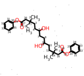 CC(C)(CCC(O)CCC(O)CCC(C)(C)CC(=O)Oc1ccccc1)CC(=O)Oc1ccccc1